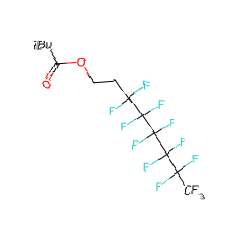 CCC(C)C(=O)OCCC(F)(F)C(F)(F)C(F)(F)C(F)(F)C(F)(F)C(F)(F)F